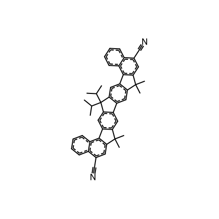 CC(C)C1(C(C)C)c2cc3c(cc2-c2cc4c(cc21)-c1c(cc(C#N)c2ccccc12)C4(C)C)C(C)(C)c1cc(C#N)c2ccccc2c1-3